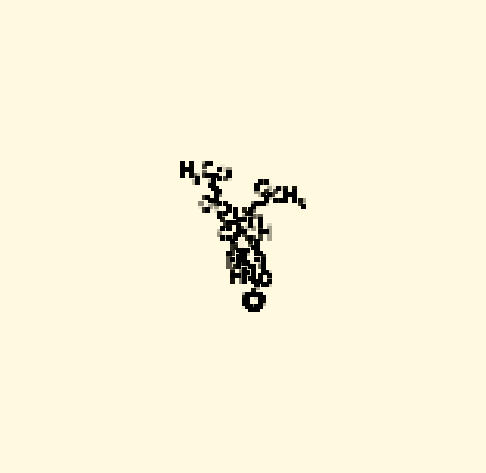 CC(=O)CCC(=O)OC[C@H]1O[C@@H](n2cnc3c(NC(=O)c4ccccc4)ncnc32)[C@H](O)[C@@H]1OC(=O)CCC(C)=O